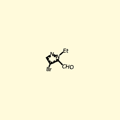 CCn1ncc(Br)c1C=O